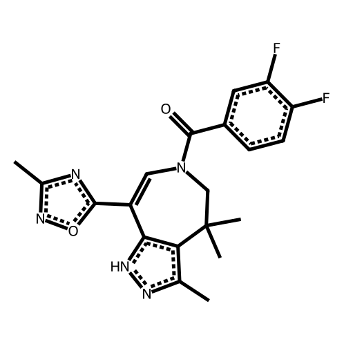 Cc1noc(C2=CN(C(=O)c3ccc(F)c(F)c3)CC(C)(C)c3c(C)n[nH]c32)n1